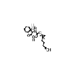 C#CCCC[C@@H]1C[C@H]1OC(=O)NC(C(=O)O)C1(C)CCCCC1